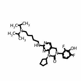 CC(C)N(CCCCCNc1ncc2c(n1)N(C1CCCC1)C(=O)N(c1ccc(F)c(O)c1F)C2)C(C)C